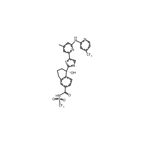 Cc1cc(Nc2cc(C(F)(F)F)ccn2)nc(-c2cnc([C@]3(O)CCCc4cc(C(=O)NS(=O)(=O)C(F)(F)F)ccc43)s2)c1